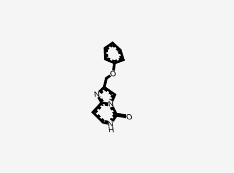 O=c1[nH]ccc2nc(COc3ccccc3)cn12